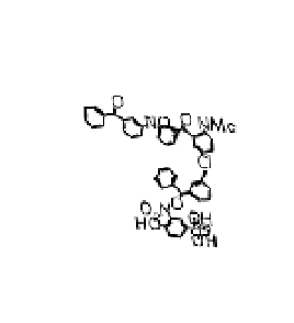 CNc1ccc(Cl)cc1C(=O)c1ccccc1.Cc1cccc(C(=O)c2ccccc2)c1.O=C(c1ccccc1)c1cccc([N+](=O)[O-])c1.O=[N+]([O-])c1cc([As](=O)(O)O)ccc1O